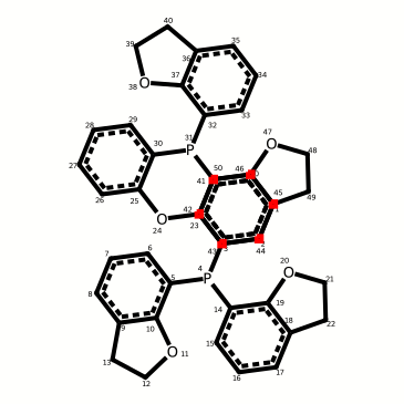 c1ccc(P(c2cccc3c2OCC3)c2cccc3c2OCC3)c(Oc2ccccc2P(c2cccc3c2OCC3)c2cccc3c2OCC3)c1